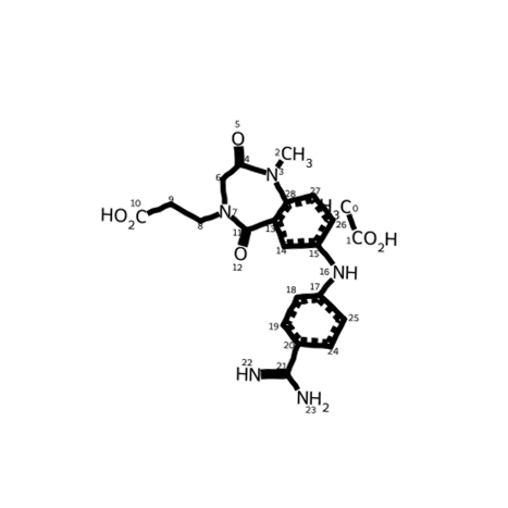 CC(=O)O.CN1C(=O)CN(CCC(=O)O)C(=O)c2cc(Nc3ccc(C(=N)N)cc3)ccc21